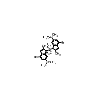 CC1=Cc2c(Br)cc(N(C)C)cc2C1[Si](C)(C)C1C(C)=Cc2c(Br)cc(N(C)C)cc21